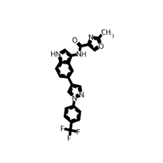 Cc1nc(C(=O)Nc2c[nH]c3ccc(-c4cnn(-c5ccc(C(F)(F)F)cc5)c4)cc23)co1